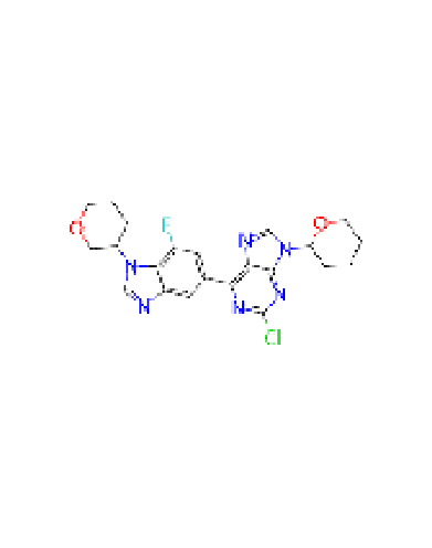 Fc1cc(-c2nc(Cl)nc3c2ncn3C2CCCCO2)cc2ncn(C3CCCOC3)c12